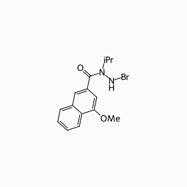 COc1cc(C(=O)N(NBr)C(C)C)cc2ccccc12